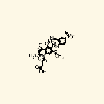 COc1cc2c(c(OC)c1N=Nc1ccc([N+](=O)[O-])cc1C#N)C(C)=CC(C)(C)N2CCCC(=O)O